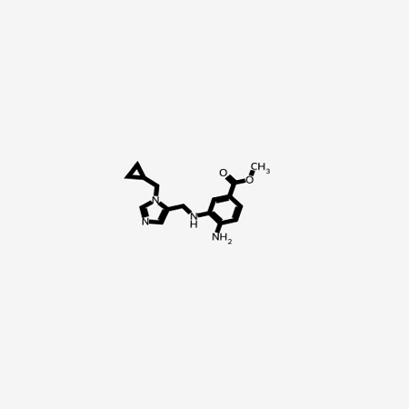 COC(=O)c1ccc(N)c(NCc2cncn2CC2CC2)c1